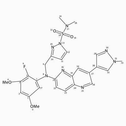 COc1cc(OC)c(F)c(N(Cc2ccn(S(=O)(=O)N(C)C)n2)c2ccc3ncc(-c4cnn(C)c4)cc3n2)c1